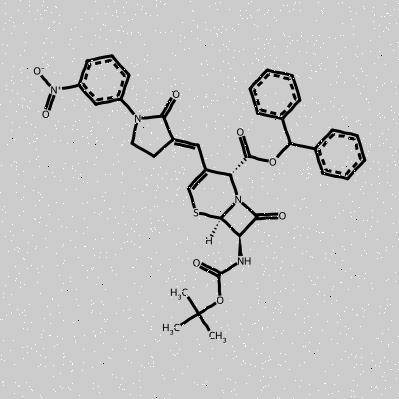 CC(C)(C)OC(=O)N[C@@H]1C(=O)N2[C@@H](C(=O)OC(c3ccccc3)c3ccccc3)C(/C=C3\CCN(c4cccc([N+](=O)[O-])c4)C3=O)=CS[C@H]12